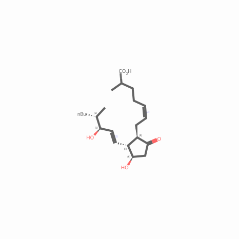 CCCC[C@H](C)[C@H](O)/C=C/[C@H]1[C@H](O)CC(=O)[C@@H]1C/C=C\CCC(C)C(=O)O